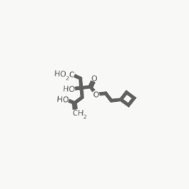 C=C(O)CC(O)(CC(=O)O)C(=O)OCCC1CCC1